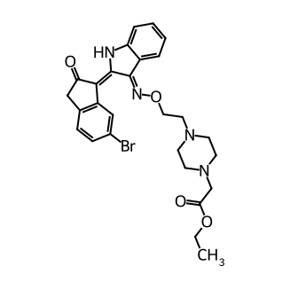 CCOC(=O)CN1CCN(CCO/N=C2/C(=C3/C(=O)Cc4ccc(Br)cc43)Nc3ccccc32)CC1